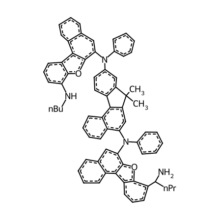 CCCCNc1cccc2c1oc1c(N(c3ccccc3)c3ccc4c(c3)C(C)(C)c3cc(N(c5ccccc5)c5cc6ccccc6c6c5oc5c(C(N)CCC)cccc56)c5ccccc5c3-4)cc3ccccc3c12